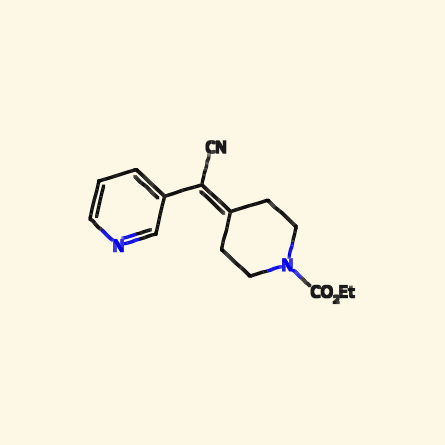 CCOC(=O)N1CCC(=C(C#N)c2cccnc2)CC1